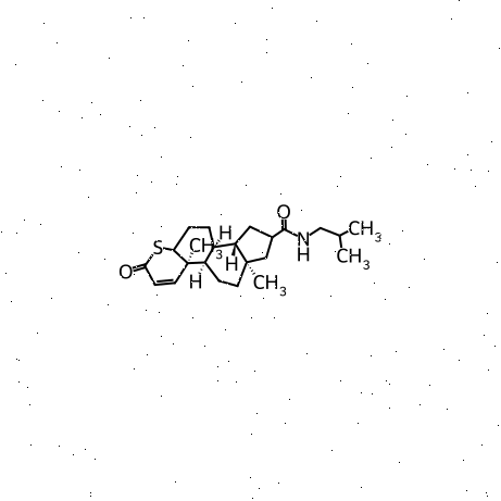 CC(C)CNC(=O)C1C[C@H]2[C@@H]3CCC4SC(=O)C=C[C@]4(C)[C@@H]3CC[C@]2(C)C1